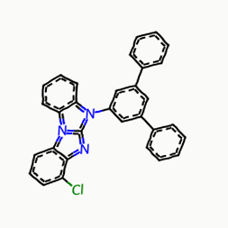 Clc1cccc2c1nc1n(-c3cc(-c4ccccc4)cc(-c4ccccc4)c3)c3ccccc3n21